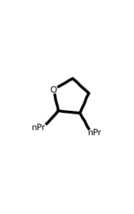 CCCC1CCOC1CCC